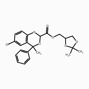 CC1(C)OCC(COC(=O)C2Oc3ccc(Cl)cc3C(C)(c3ccccc3)O2)O1